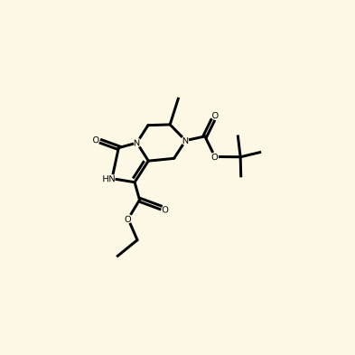 CCOC(=O)c1[nH]c(=O)n2c1CN(C(=O)OC(C)(C)C)C(C)C2